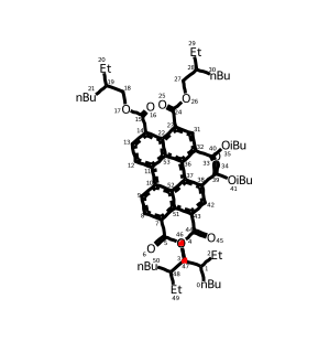 CCCCC(CC)COC(=O)c1ccc2c3ccc(C(=O)OCC(CC)CCCC)c4c(C(=O)OCC(CC)CCCC)cc(C(=O)OCC(C)C)c(c5c(C(=O)OCC(C)C)cc(C(=O)OCC(CC)CCCC)c1c25)c43